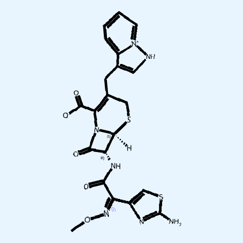 CO/N=C(\C(=O)N[C@@H]1C(=O)N2C(C(=O)[O-])=C(Cc3c[nH][n+]4ccccc34)CS[C@@H]12)c1csc(N)n1